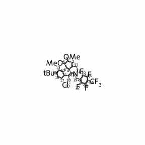 COc1cc2c(cc1OC)C(C(C)c1ccc(C(C)(C)C)cc1)=[N+](Cc1c(F)c(F)c(C(F)(F)F)c(F)c1F)CC2.[Cl-]